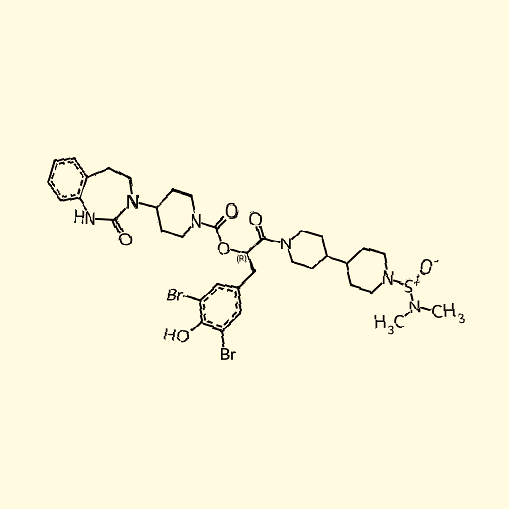 CN(C)[S+]([O-])N1CCC(C2CCN(C(=O)[C@@H](Cc3cc(Br)c(O)c(Br)c3)OC(=O)N3CCC(N4CCc5ccccc5NC4=O)CC3)CC2)CC1